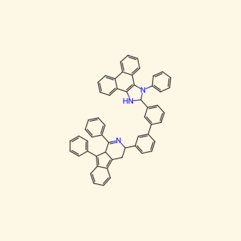 c1ccc(C2=NC(c3cccc(-c4cccc(C5Nc6c(c7ccccc7c7ccccc67)N5c5ccccc5)c4)c3)CC3=c4ccccc4=C(c4ccccc4)C23)cc1